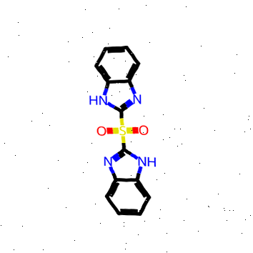 O=S(=O)(c1nc2ccccc2[nH]1)c1nc2ccccc2[nH]1